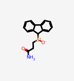 NC(=O)CC[S+]([O-])C1c2ccccc2-c2ccccc21